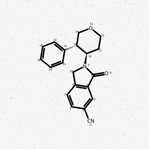 N#Cc1ccc2c(c1)C(=O)N([C@@H]1CCOC[C@H]1c1ccccc1)C2